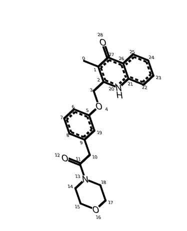 Cc1c(COc2cccc(CC(=O)N3CCOCC3)c2)[nH]c2ccccc2c1=O